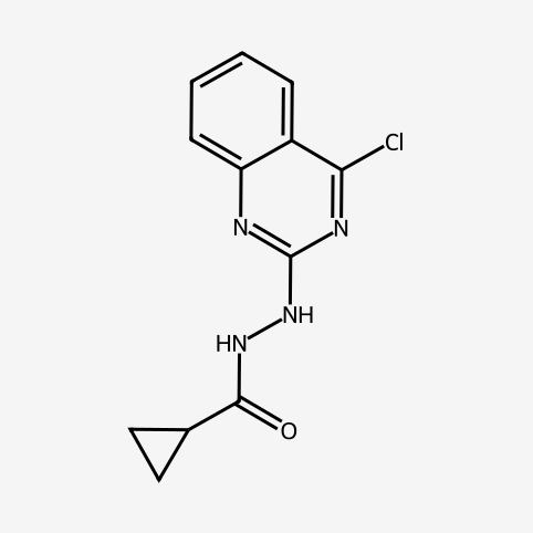 O=C(NNc1nc(Cl)c2ccccc2n1)C1CC1